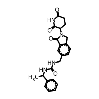 CC(NC(=O)NCc1ccc2c(c1)C(=O)N(C1CCC(=O)NC1=O)C2)c1ccccc1